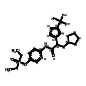 CCP(=O)(CC)Oc1ccc(NC(=O)C(CC2CCCC2)n2cnc(C(F)(F)F)c2)nc1